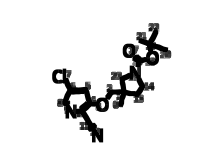 CC1(COc2cc(Cl)cnc2C#N)CCN(C(=O)OC(C)(C)C)C1